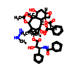 CC(=O)O[C@H]1C(=O)[C@@]2(C)[C@H]([C@H](OC(=O)c3ccccc3)[C@]3(O)C[C@H](OC(=O)[C@H](O)[C@@H](NC(=O)c4ccccc4)c4ccccc4)C(C)=C1C3(C)C)[C@]1(OC(C)=O)CO[C@@H]1C[C@@H]2O.CNN